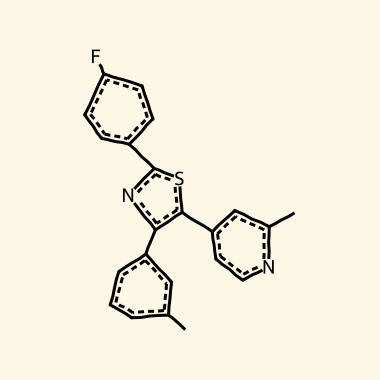 Cc1cccc(-c2nc(-c3ccc(F)cc3)sc2-c2ccnc(C)c2)c1